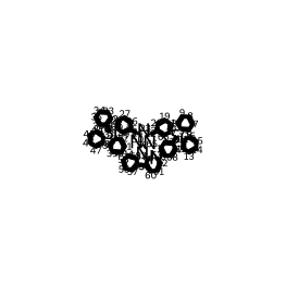 c1ccc([Si](c2ccccc2)(c2ccccc2)c2cccc(-c3nc(-c4cccc([Si](c5ccccc5)(c5ccccc5)c5ccccc5)c4)nc(-n4c5ccccc5c5cccnc54)n3)c2)cc1